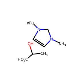 CC(O)C(=O)O.CCCCN1C=CN(C)C1